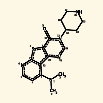 CN(C)c1ccnc2sc3c(=O)n(C4CCNCC4)cnc3c12